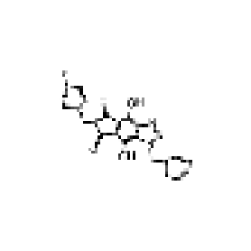 O=C1c2c(c(O)c3c(nnn3Cc3ccccc3)c2O)C(=O)N1Cc1ccc(F)cc1